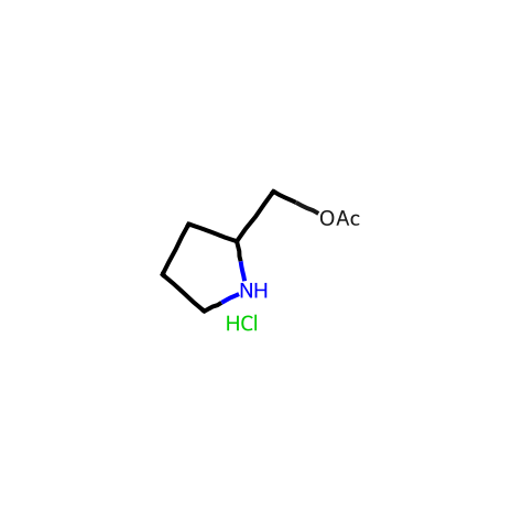 CC(=O)OCC1CCCN1.Cl